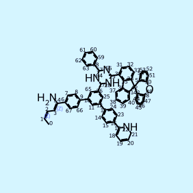 C/C=C\C=C(/N)c1ccc(-c2cc(-c3ccc(C4=CC=CCN4)cc3)cc(C3NC(c4cccc5c4-c4ccccc4C54c5ccccc5Oc5ccccc54)=NC(c4ccccc4)N3)c2)cc1